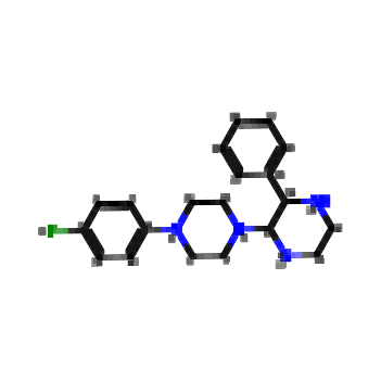 Fc1ccc(N2CCN(C3[N]CCNC3c3ccccc3)CC2)cc1